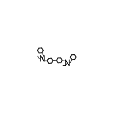 CCN(Cc1ccccc1)Cc1ccc(-c2ccc(CN(CC)Cc3ccccc3)cc2)cc1